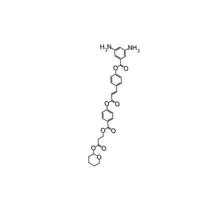 Nc1cc(N)cc(C(=O)Oc2ccc(/C=C/C(=O)Oc3ccc(C(=O)OCCC(=O)OC4CCCCO4)cc3)cc2)c1